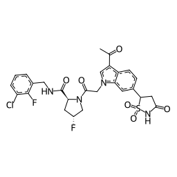 CC(=O)c1cn(CC(=O)N2C[C@H](F)C[C@H]2C(=O)NCc2cccc(Cl)c2F)c2cc(C3CC(=O)NS3(=O)=O)ccc12